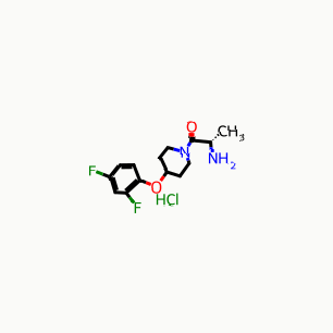 C[C@H](N)C(=O)N1CCC(Oc2ccc(F)cc2F)CC1.Cl